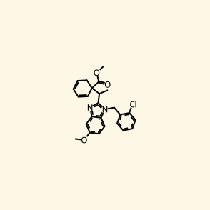 COC(=O)C1(C(C)c2nc3cc(OC)ccc3n2Cc2ccccc2Cl)C=CC=CC1